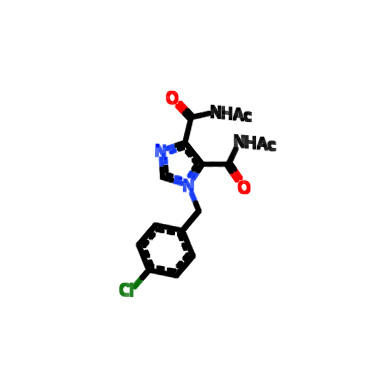 CC(=O)NC(=O)c1ncn(Cc2ccc(Cl)cc2)c1C(=O)NC(C)=O